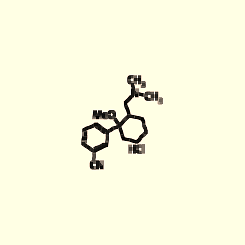 COC1(c2cccc(C#N)c2)CCCCC1CN(C)C.Cl